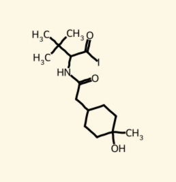 CC1(O)CCC(CC(=O)NC(C(=O)I)C(C)(C)C)CC1